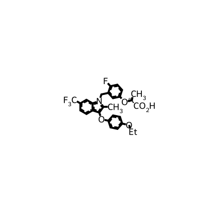 CCOc1ccc(Oc2c(C)n(Cc3cc(O[C@H](C)C(=O)O)ccc3F)c3cc(C(F)(F)F)ccc23)cc1